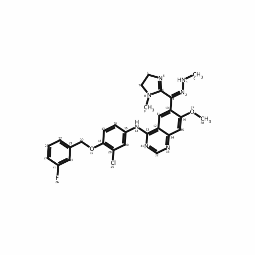 CNN=C(C1=NCCN1C)c1cc2c(Nc3ccc(OCc4cccc(F)c4)c(Cl)c3)ncnc2cc1OC